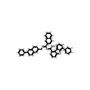 N/C(=N\C(=N/Cc1ccc2cc(-c3ccccc3)ccc2c1)c1ccc2ccccc2c1)c1cccc2oc3c(-c4ccccc4)cccc3c12